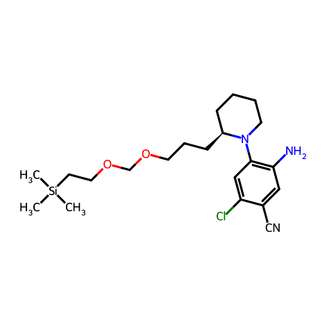 C[Si](C)(C)CCOCOCCC[C@H]1CCCCN1c1cc(Cl)c(C#N)cc1N